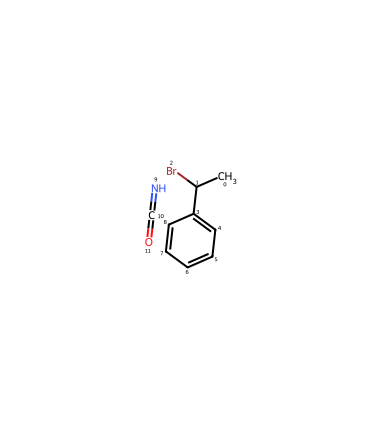 CC(Br)c1ccccc1.N=C=O